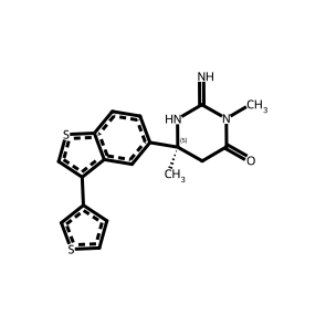 CN1C(=N)N[C@](C)(c2ccc3scc(-c4ccsc4)c3c2)CC1=O